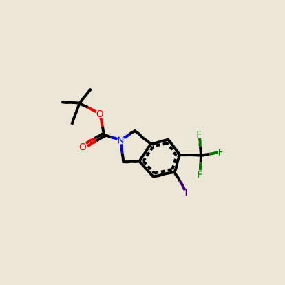 CC(C)(C)OC(=O)N1Cc2cc(I)c(C(F)(F)F)cc2C1